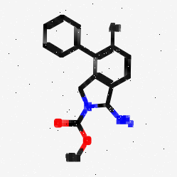 CC(=O)c1ccc2c(c1-c1ccccc1)CN(C(=O)OC(C)(C)C)C2N